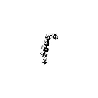 O=C1O[C@@H](Cn2cccn2)CN1c1ccc(-c2ccc(C3=NO[C@@H](CN4CCOCC4)C3)nc2)c(F)c1